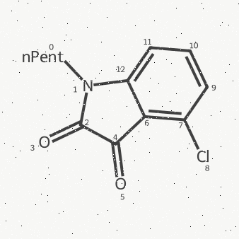 CCCCCN1C(=O)C(=O)c2c(Cl)cccc21